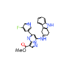 COC(=O)c1cnn2c(N[C@@H]3CCc4[nH]c5ccccc5c4C3)cc(-c3cncc(F)c3)nc12